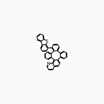 c1ccc2c(c1)-c1cccc(-c3cccc4c3sc3ccccc34)c1-c1ccccc1-c1c-2ccc2cccnc12